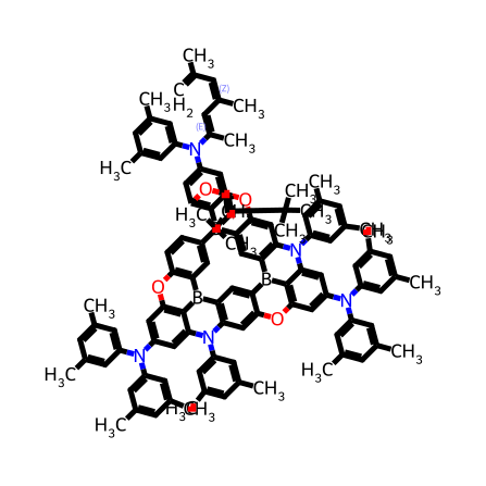 C=C(C)/C=C(C)\C=C(/C)N(c1cc(C)cc(C)c1)c1cc2c3c(c1)Oc1cc4c(cc1B3c1cc(C(C)(C)C)ccc1O2)B1c2cc3c(cc2Oc2cc(N(c5cc(C)cc(C)c5)c5cc(C)cc(C)c5)cc(c21)N4c1cc(C)cc(C)c1)N(c1cc(C)cc(C)c1)c1cc(N(c2cc(C)cc(C)c2)c2cc(C)cc(C)c2)cc2c1B3c1cc(C(C)(C)C)ccc1O2